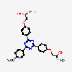 CCCCCCC(O)COc1ccc(-c2nc(-c3ccc(OC)cc3)nc(-c3ccc(OCC(O)CCCCCC)cc3)n2)cc1